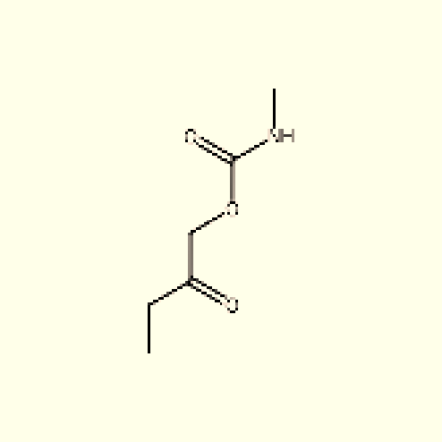 CCC(=O)COC(=O)NC